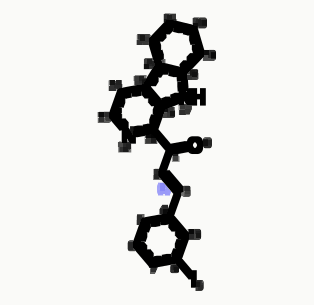 O=C(/C=C/c1cccc(I)c1)c1nccc2c1[nH]c1ccccc12